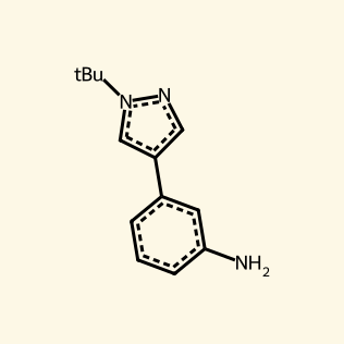 CC(C)(C)n1cc(-c2cccc(N)c2)cn1